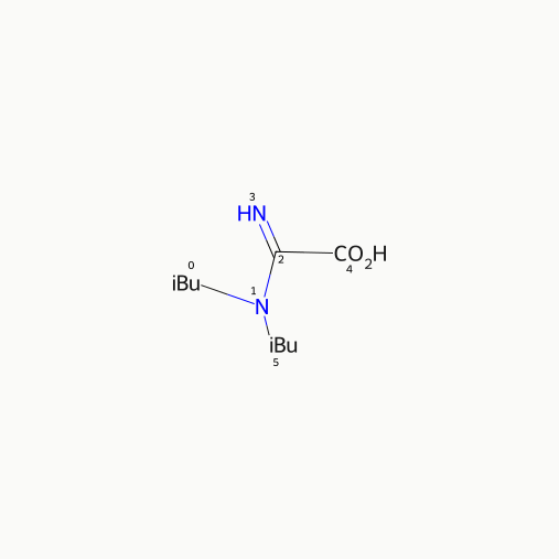 CCC(C)N(C(=N)C(=O)O)C(C)CC